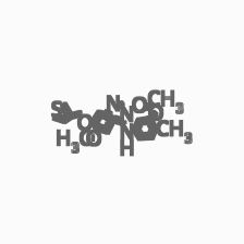 COc1cc2c(Nc3ccc(C)c(OC(C)=O)c3)ncnc2cc1OCc1ccsc1